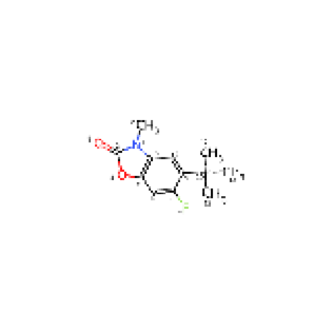 Cn1c(=O)oc2cc(F)c(C(C)(C)C)cc21